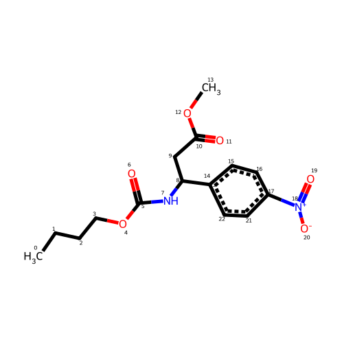 CCCCOC(=O)NC(CC(=O)OC)c1ccc([N+](=O)[O-])cc1